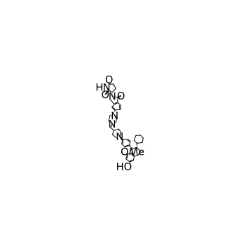 COc1cc(N2CCC(CN3CCN(c4ccc5c(c4)CN([C@H]4CCC(=O)NC4=O)C5=O)CC3)CC2)ccc1[C@@H]1c2ccc(O)cc2CC[C@@H]1C1CCCCC1